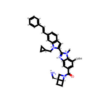 COc1cc(C(=O)N2C[C@@]3(CN)CCC23)cc2nc(-c3cc4ccc(/C=C/c5ccccc5)cc4n3CC3CC3)n(C)c12